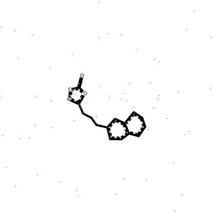 O=c1onc(CCCc2ccc3ccccc3c2)o1